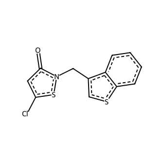 O=c1cc(Cl)sn1Cc1csc2ccccc12